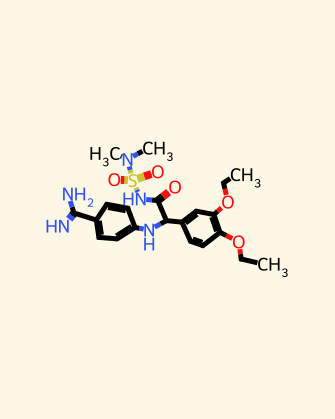 CCOc1ccc(C(Nc2ccc(C(=N)N)cc2)C(=O)NS(=O)(=O)N(C)C)cc1OCC